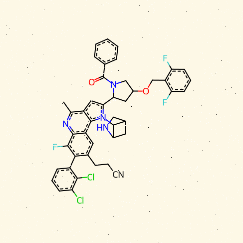 Cc1nc2c(F)c(-c3cccc(Cl)c3Cl)c(CCC#N)cc2c2c1cc(C1CC(OCc3c(F)cccc3F)CN1C(=O)c1ccccc1)n2C1C2CNC1C2